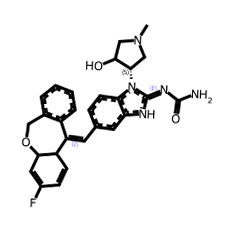 CN1CC(O)[C@@H](n2/c(=N/C(N)=O)[nH]c3cc(/C=C4\c5ccccc5COC5C=C(F)C=CC45)ccc32)C1